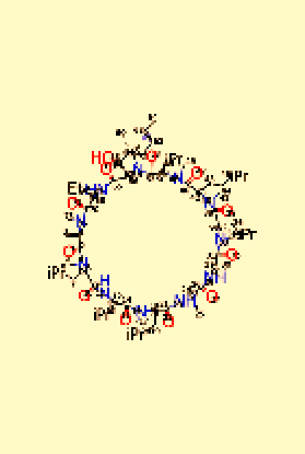 C=C1C(=O)N(C)[C@@H](CC(C)C)C(=O)N[C@H](C(C)C)C(=O)N(C)[C@H](CC(C)C)C(=O)N[C@H](C)C(=O)N[C@@H](C)C(=O)N(C)[C@@H](CC(C)C)C(=O)N(C)[C@H](CCC(C)C)C(=O)N(C)[C@H](C(C)C)C(=O)N(C)[C@@H]([C@H](O)[C@H](C)C/C=C/C)C(=O)N[C@H](CC)C(=O)N1C